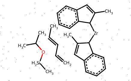 C=CC=CC.CC1=Cc2ccccc2[CH]1[Zr][CH]1C(C)=Cc2ccccc21.C[SiH2]OC(C)C